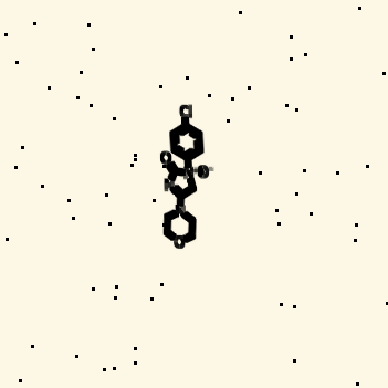 O=C1N=C(N2CCOCC2)C[N+]1([O-])c1ccc(Cl)cc1